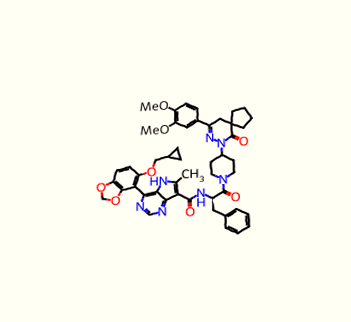 COc1ccc(C2=NN(C3CCN(C(=O)[C@@H](Cc4ccccc4)NC(=O)c4c(C)[nH]c5c(-c6c(OCC7CC7)ccc7c6OCO7)ncnc45)CC3)C(=O)C3(CCCC3)C2)cc1OC